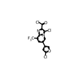 O=C(Cl)c1nc2c(C(F)(F)F)cc(-c3coc(Cl)c3)cn2c1Cl